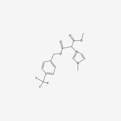 COC(=O)C(C(=O)OCc1ccc(C(F)(F)F)cc1)[n+]1ccn(C)c1